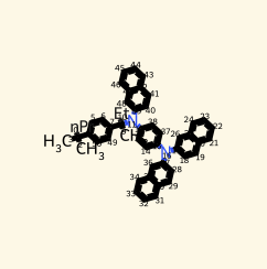 CCCC(C)(C)c1ccc(C(C)(CC)N(c2ccc(N(c3ccc4ccccc4c3)c3ccc4ccccc4c3)cc2)c2ccc3ccccc3c2)cc1